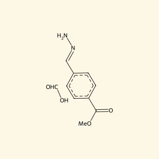 COC(=O)c1ccc(/C=N/N)cc1.O=CO